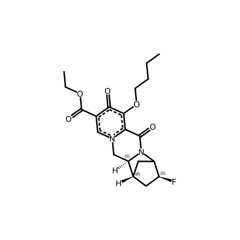 CCCCOc1c2n(cc(C(=O)OCC)c1=O)C[C@@H]1[C@@H]3CC([C@@H](F)C3)N1C2=O